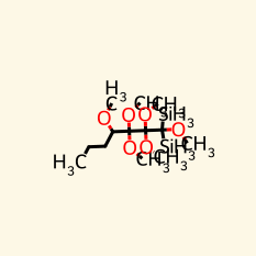 CCCC(OC)C(OC)(OC)C(OC)(OC)C([SiH3])([SiH3])OC